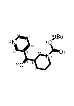 CC(C)(C)OC(=O)N1CCCC(C(=O)c2cccnc2)C1